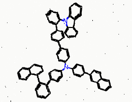 c1ccc(-c2cccc3ccccc23)c(-c2ccc(N(c3ccc(-c4ccc(-c5ccccc5-n5c6ccccc6c6ccccc65)cc4)cc3)c3ccc(-c4ccc5ccccc5c4)cc3)cc2)c1